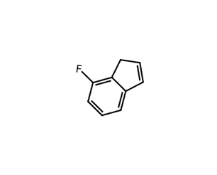 Fc1cccc2c1CC=C2